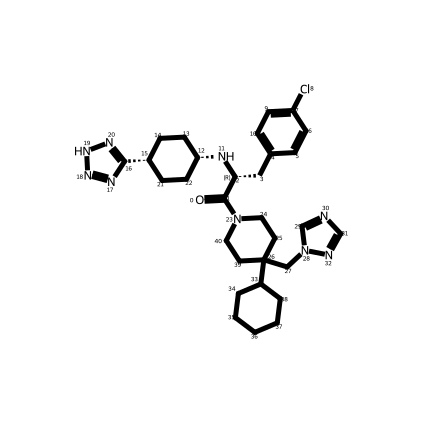 O=C([C@@H](Cc1ccc(Cl)cc1)N[C@H]1CC[C@@H](c2nn[nH]n2)CC1)N1CCC(Cn2cncn2)(C2CCCCC2)CC1